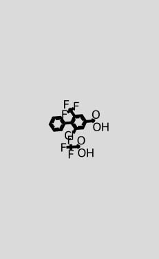 O=C(O)C(F)(F)F.O=C(O)c1cc(Cl)c(-c2ccccc2)c(C(F)(F)F)c1